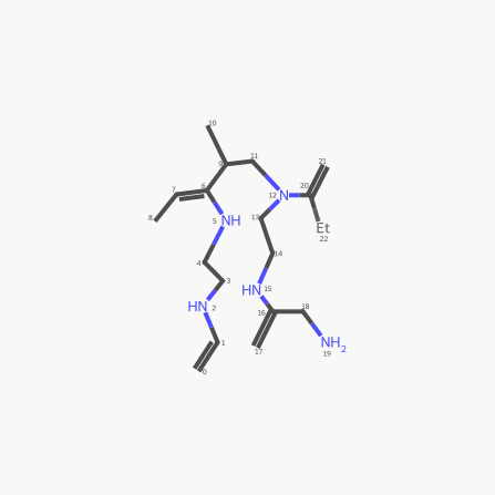 C=CNCCNC(=CC)C(C)CN(CCNC(=C)CN)C(=C)CC